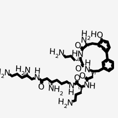 NCCC[C@H](N)CNC(=O)C[C@@H](N)CCCNC(=O)[C@H](CCCN)NC(=O)C[C@@H]1Cc2cccc(c2)-c2ccc(O)c(c2)C[C@H](N)C(=O)N[C@@H](CCCN)C(=O)N1